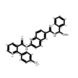 CC(=O)OC(NC(=O)c1ccc2nc(NC(=O)c3cccnc3-c3ccc(C(F)(F)F)cc3)ccc2c1)c1ccccc1